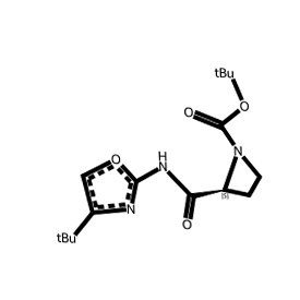 CC(C)(C)OC(=O)N1CC[C@H]1C(=O)Nc1nc(C(C)(C)C)co1